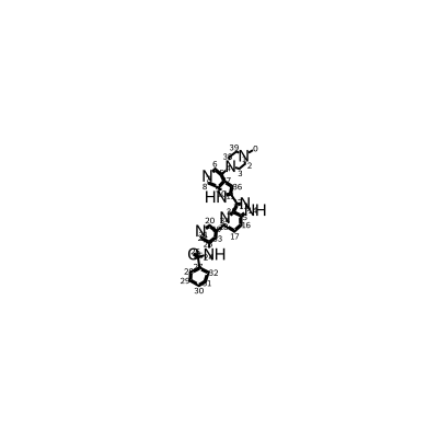 CN1CCN(c2cncc3[nH]c(-c4n[nH]c5ccc(-c6cncc(NC(=O)c7ccccc7)c6)nc45)cc23)CC1